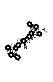 Cc1cccc(C)c1N(c1ccc2cc3c(cc2c1)oc1c(C#N)c2c(cc13)oc1cc3cc(N(c4c(C)cccc4C)c4cccc5c4oc4ccccc45)ccc3cc12)c1cccc2c1oc1ccccc12